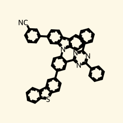 N#Cc1cccc(-c2ccc3c4ccccc4n(-c4ccc(-c5ccc6sc7ccccc7c6c5)cc4-c4nc(-c5ccccc5)nc(-c5ccccc5)n4)c3c2)c1